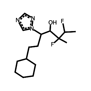 CC(F)C(C)(F)C(O)C(CCC1CCCCC1)n1cncn1